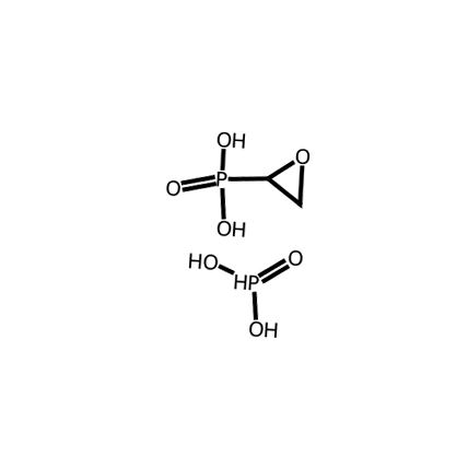 O=P(O)(O)C1CO1.O=[PH](O)O